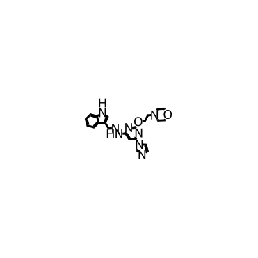 C(=N\Nc1cc(-n2ccnc2)nc(OCCN2CCOCC2)n1)/c1c[nH]c2ccccc12